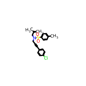 C=C(C)CN(CC#Cc1ccc(Cl)cc1)S(=O)(=O)c1ccc(C)cc1